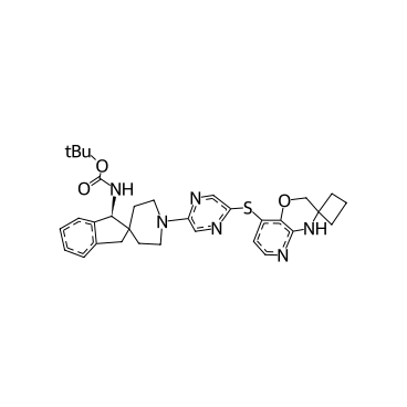 CC(C)(C)OC(=O)N[C@@H]1c2ccccc2CC12CCN(c1cnc(Sc3ccnc4c3OCC3(CCC3)N4)cn1)CC2